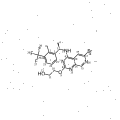 Cc1c([C@@H](C)Nc2nc(OCCO)nc3cnc(Br)cc23)cccc1C(F)(F)F